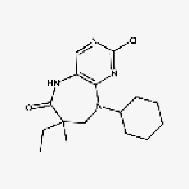 CCC1(C)CN(C2CCCCC2)c2nc(Cl)ncc2NC1=O